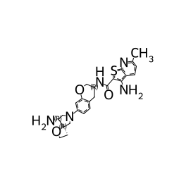 Cc1ccc2c(N)c(C(=O)N[C@H]3COc4cc(N5C[C@@H](N)[C@@]6(CCO6)C5)ccc4C3)sc2n1